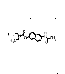 CCN(CC)C(=S)Oc1ccc2cc(NC(C)=O)ccc2c1